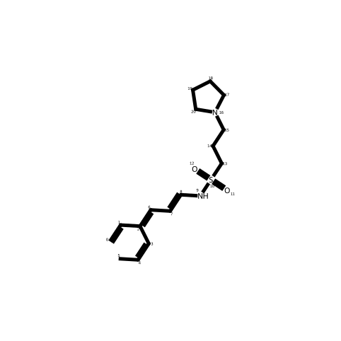 C=CC(/C=C\C)=C/C=C/NS(=O)(=O)CCCN1CCCC1